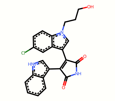 O=C1NC(=O)C(c2cn(CCCO)c3ccc(Cl)cc23)=C1c1c[nH]c2ccccc12